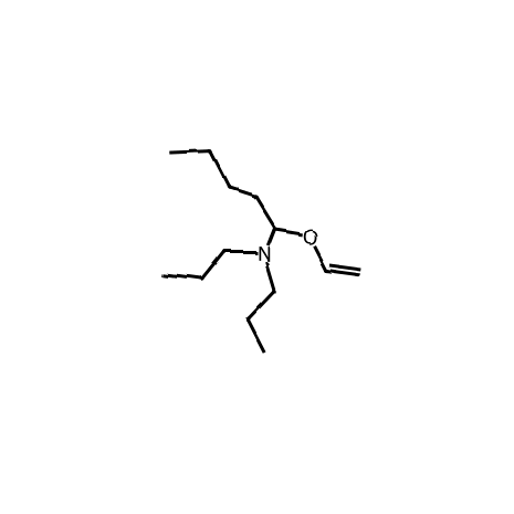 C=COC(CCCC)N(CCC)CCC